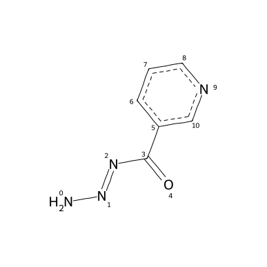 NN=NC(=O)c1cccnc1